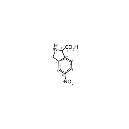 O=C(O)C1NCc2cc([N+](=O)[O-])ccc21